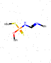 CCCCSP(=S)(NC=NC(C)C)OCCC